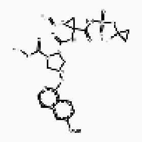 C=C[C@@H]1CC1(NC(=O)[C@@H]1C[C@@H](Oc2nccc3cc(OC)ccc23)CN1C(=O)OC(C)(C)C)C(=O)NS(=O)(=O)OC1(C)CC1